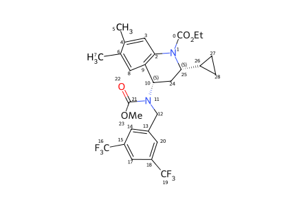 CCOC(=O)N1c2cc(C)c(C)cc2[C@@H](N(Cc2cc(C(F)(F)F)cc(C(F)(F)F)c2)C(=O)OC)C[C@H]1C1CC1